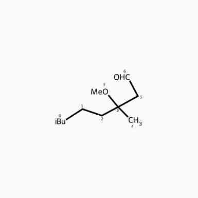 CCC(C)CCC(C)(CC=O)OC